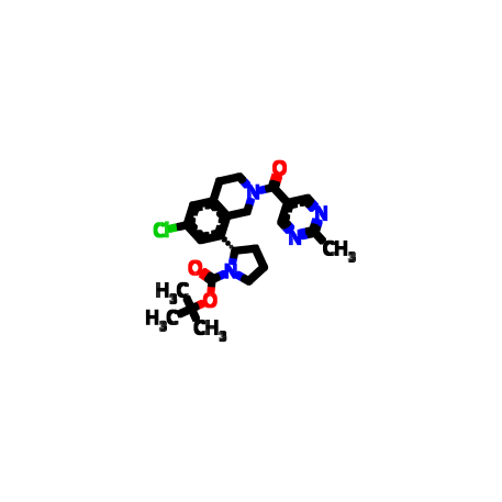 Cc1ncc(C(=O)N2CCc3cc(Cl)cc([C@@H]4CCCN4C(=O)OC(C)(C)C)c3C2)cn1